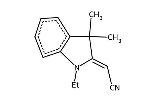 CCN1/C(=C\C#N)C(C)(C)c2ccccc21